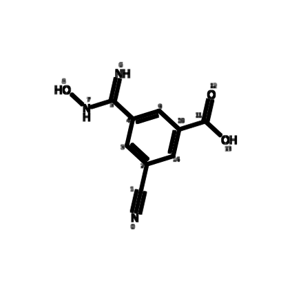 N#Cc1cc(C(=N)NO)cc(C(=O)O)c1